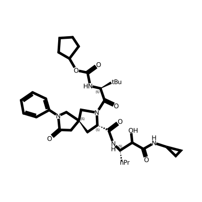 CCC[C@H](NC(=O)[C@@H]1C[C@]2(CC(=O)N(c3ccccc3)C2)CN1C(=O)[C@@H](NC(=O)OC1CCCC1)C(C)(C)C)C(O)C(=O)NC1CC1